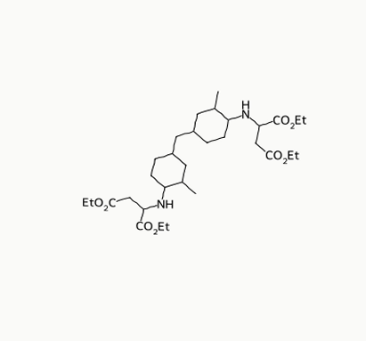 CCOC(=O)CC(NC1CCC(CC2CCC(NC(CC(=O)OCC)C(=O)OCC)C(C)C2)CC1C)C(=O)OCC